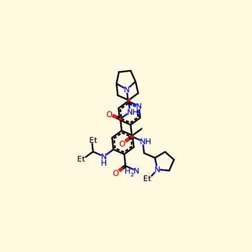 CCC(CC)Nc1cc(C(=O)NC2CC3CCC(C2)N3c2ccc(C(=O)NCC3CCCN3CC)cn2)c(C)cc1C(N)=O